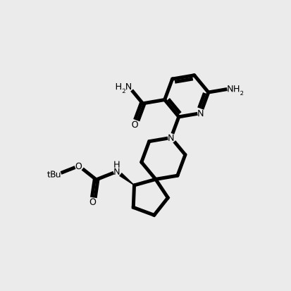 CC(C)(C)OC(=O)N[C@@H]1CCCC12CCN(c1nc(N)ccc1C(N)=O)CC2